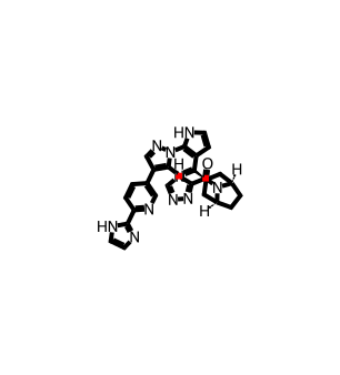 O=C(c1nnc[nH]1)N1[C@@H]2CC[C@H]1C[C@@H](c1nc3c(-c4ccc(-c5ncc[nH]5)nc4)cnn3c3[nH]ccc13)C2